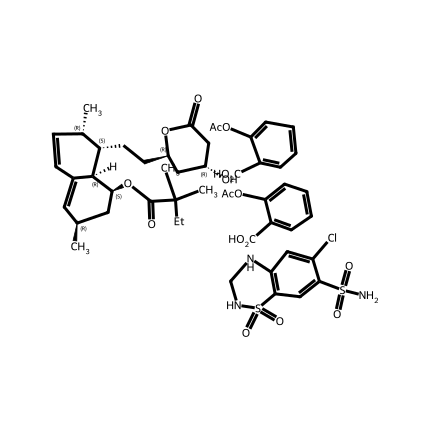 CC(=O)Oc1ccccc1C(=O)O.CC(=O)Oc1ccccc1C(=O)O.CCC(C)(C)C(=O)O[C@H]1C[C@@H](C)C=C2C=C[C@H](C)[C@H](CC[C@@H]3C[C@@H](O)CC(=O)O3)[C@H]21.NS(=O)(=O)c1cc2c(cc1Cl)NCNS2(=O)=O